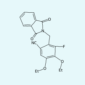 CCOc1cc(C#N)c(CN2C(=O)c3ccccc3C2=O)c(F)c1OCC